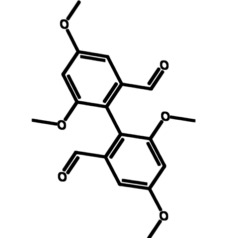 COc1cc(C=O)c(-c2c(C=O)cc(OC)cc2OC)c(OC)c1